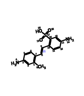 Cc1cc(N)ccc1/C=C/c1ccc(N)cc1S(=O)(=O)O